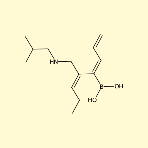 C=C/C=C(B(O)O)\C(=C/CC)CNCC(C)C